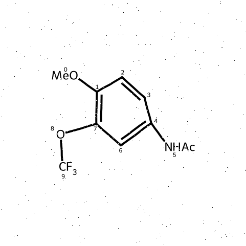 COc1ccc(NC(C)=O)cc1OC(F)(F)F